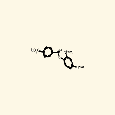 CCCCCc1ccc(OC(=O)c2ccc(C(=O)O)cc2)c(CCCCC)c1